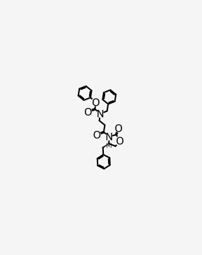 O=C(Oc1ccccc1)N(CCC(=O)N1C(=O)OC[C@H]1Cc1ccccc1)Cc1ccccc1